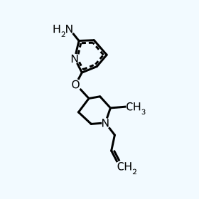 C=CCN1CCC(Oc2cccc(N)n2)CC1C